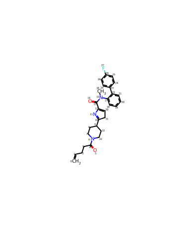 C=CCCC(=O)N1CCC(C2=NC(C(=O)N(C)c3ccccc3-c3ccc(F)cc3)=CC2)CC1